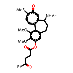 CCC(=O)CCC(=O)Oc1cc2c(c(OC)c1OC)-c1ccc(SC)c(=O)cc1C(NC(C)=O)CC2